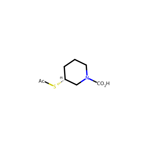 CC(=O)S[C@@H]1CCCN(C(=O)O)C1